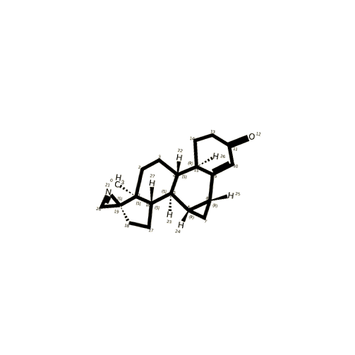 C[C@]12CC[C@H]3[C@@H]([C@H]4C[C@H]4C4=CC(=O)CC[C@@H]43)[C@@H]1CC[C@@]21C=N1